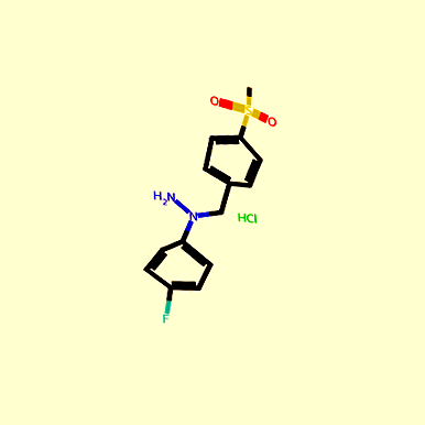 CS(=O)(=O)c1ccc(CN(N)c2ccc(F)cc2)cc1.Cl